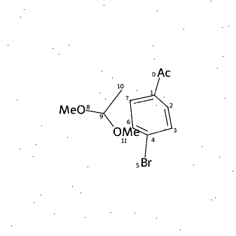 CC(=O)c1ccc(Br)cc1.COC(C)OC